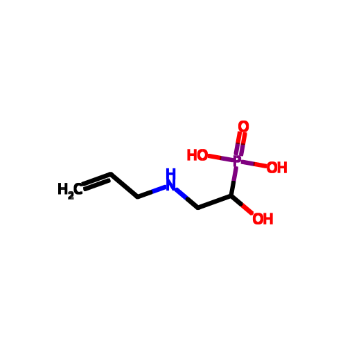 C=CCNCC(O)P(=O)(O)O